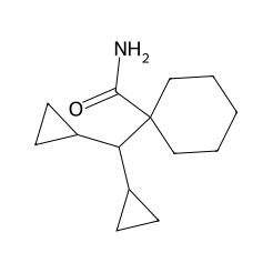 NC(=O)C1(C(C2CC2)C2CC2)CCCCC1